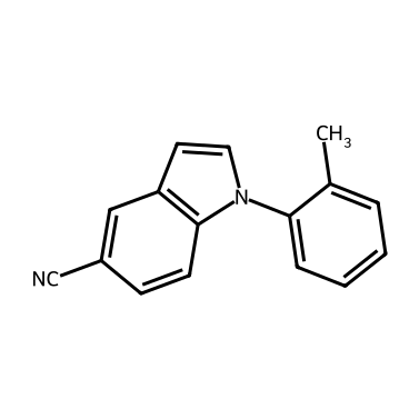 Cc1ccccc1-n1ccc2cc(C#N)ccc21